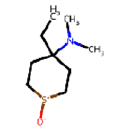 CCC1(N(C)C)CC[S+]([O-])CC1